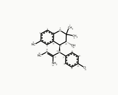 CC1(C)Oc2ccc(C#N)cc2[C@H](N(C(N)=NC#N)c2ccc(Cl)cc2)[C@H]1O